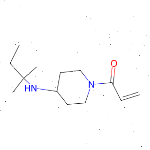 C=CC(=O)N1CCC(NC(C)(C)CC)CC1